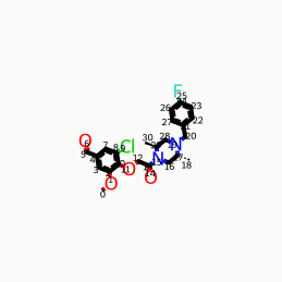 COc1cc(C=O)cc(Cl)c1OCC(=O)N1C[C@@H](C)N(Cc2ccc(F)cc2)C[C@@H]1C